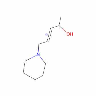 CC(O)/C=C/CN1CCCCC1